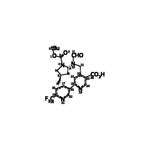 CC(C)(C)OC(=O)N1C[C@H](F)C[C@H]1N(C=O)Cc1cc(-c2ccc(C(F)(F)F)nc2)ncc1C(=O)O